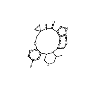 CC1COCC2c3cc(F)cnc3OCC3(CC3)NC(=O)c3cnn4ccc(nc34)N12